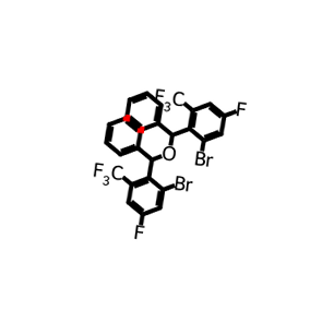 Fc1cc(Br)c(C(OC(c2ccccc2)c2c(Br)cc(F)cc2C(F)(F)F)c2ccccc2)c(C(F)(F)F)c1